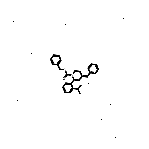 CC(C)c1ccccc1C1C/C(=C/c2ccccc2)CCN1C(=O)OCc1ccccc1